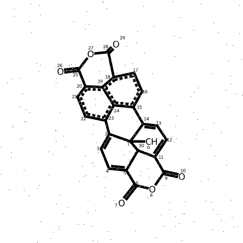 CC12C3=CC=C4C(=O)OC(=O)C(=CC=C1c1ccc5c6c(ccc3c16)C(=O)OC5=O)C42